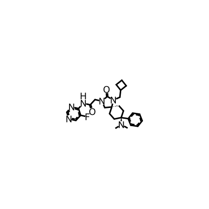 CN(C)[C@]1(c2ccccc2)CC[C@]2(CC1)CN(CC(=O)Nc1ncncc1F)C(=O)N2CC1CCC1